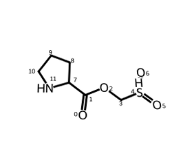 O=C(OC[SH](=O)=O)C1CCCN1